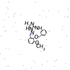 COc1cccc(/C=N/NC(=N)N)c1OCc1ccccc1